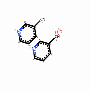 N#Cc1cccnc1.N#Cc1cccnc1.O